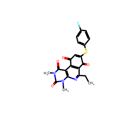 CCc1nc2c(c3c1C(=O)C(Sc1ccc(F)cc1)=CC3=O)c(=O)n(C)c(=O)n2C